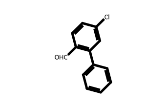 O=Cc1ccc(Cl)cc1-c1ccccc1